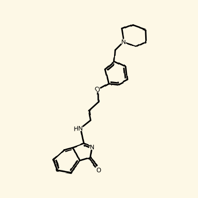 O=C1N=C(NCCCOc2cccc(CN3CCCCC3)c2)c2ccccc21